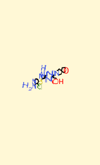 Nc1nccc(Sc2n[nH]c3nc(N4CCC5(CCOC5)CC4)c(CO)nc23)c1Cl